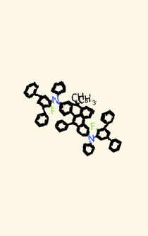 CC1(C)c2cc(N(c3ccccc3)c3cc(-c4ccccc4)cc(-c4ccccc4)c3F)ccc2-c2c(-c3ccccc3)c3ccc(N(c4ccccc4)c4cc(-c5ccccc5)cc(-c5ccccc5)c4F)cc3c3cccc1c23